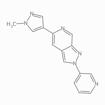 Cn1cc(-c2cc3cn(-c4cccnc4)nc3cn2)cn1